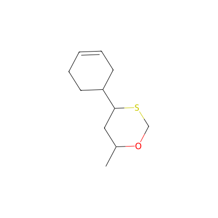 CC1CC(C2CC=CCC2)SCO1